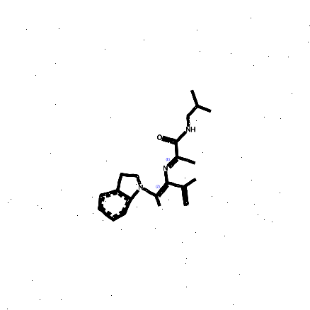 C=C(C)C(/N=C(\C)C(=O)NCC(C)C)=C(\C)N1CCc2ccccc21